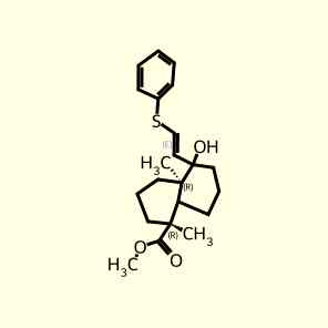 COC(=O)[C@]1(C)CCC[C@]2(C)C1CCCC2(O)/C=C/Sc1ccccc1